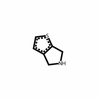 c1cc2c(s1)CNC2